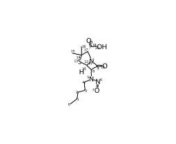 CCCCCN(N=O)C1C(=O)N2[C@@H]1SC(C)(C)[C@@H]2C(=O)O